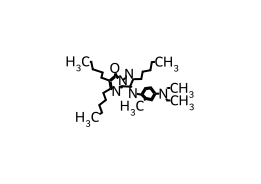 CCCCCC1=Nn2c(nc(CCCCC)c(CCCCC)c2=O)C1=Nc1ccc(N(CC)CC)cc1C